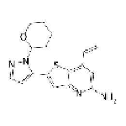 C=Cc1cc(N)nc2cc(-c3ccnn3C3CCCCO3)sc12